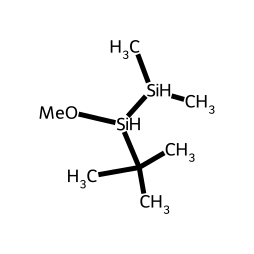 CO[SiH]([SiH](C)C)C(C)(C)C